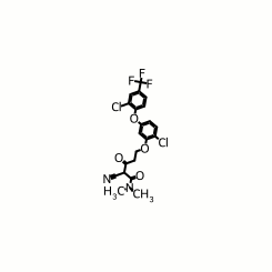 CN(C)C(=O)C(C#N)C(=O)CCOc1cc(Oc2ccc(C(F)(F)F)cc2Cl)ccc1Cl